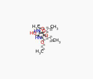 CCCCOC[C@H]1N[C@@H](CO)[C@H](NC(C)=O)[C@@H](OCCCC)[C@@H]1OCCCC